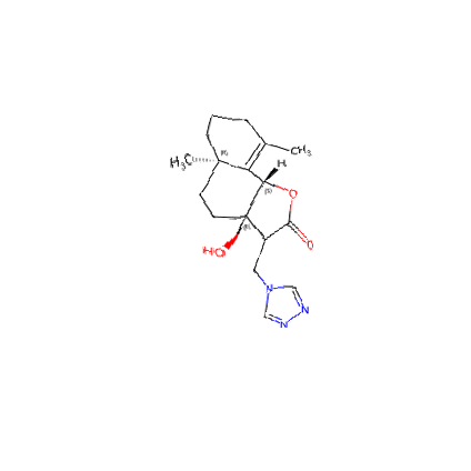 CC1=C2[C@@H]3OC(=O)C(Cn4cnnc4)[C@]3(O)CC[C@@]2(C)CCC1